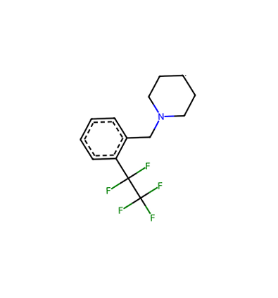 FC(F)(F)C(F)(F)c1ccccc1CN1CC[CH]CC1